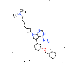 CN(C)[CH]CCCC1CC(n2cc(-c3cccc(OCc4ccccc4)c3)c3c(N)ncnc32)C1